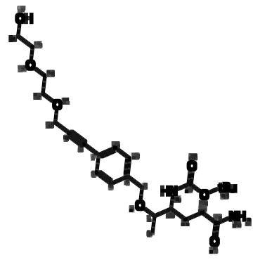 CC(OCc1ccc(C#CCOCCOCCO)cc1)C(CCC(N)=O)NC(=O)OC(C)(C)C